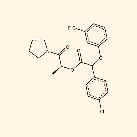 C[C@H](OC(=O)C(Oc1cccc(C(F)(F)F)c1)c1ccc(Cl)cc1)C(=O)N1CCCC1